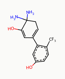 NC1(N)CC=C(c2cc(O)ccc2C(F)(F)F)C=C1O